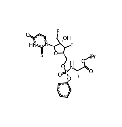 CC(C)OC(=O)[C@H](C)NP(=O)(OC[C@H]1O[C@@H](n2ccc(=O)[nH]c2=S)[C@@](O)(CF)C1F)Oc1ccccc1